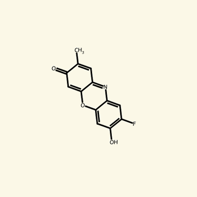 Cc1cc2nc3cc(F)c(O)cc3oc-2cc1=O